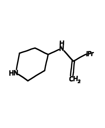 C=C(NC1CCNCC1)C(C)C